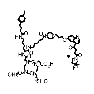 C#C[C@H]1CC(F)(F)CN1C(=O)CCC(=O)c1ccnc2ccc(OCCCN3CCN(C(=O)CCCCCNC(=O)C(CCCCNC(=O)CCCc4ccc(I)cc4)NC(=O)CN4CCN(COC=O)CCN(COC=O)CCN(CC(=O)O)CC4)CC3)cc12